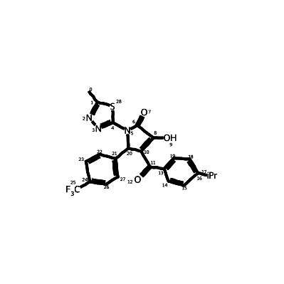 Cc1nnc(N2C(=O)C(O)=C(C(=O)c3ccc(C(C)C)cc3)C2c2ccc(C(F)(F)F)cc2)s1